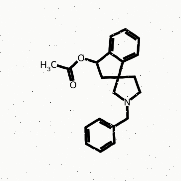 CC(=O)OC1CC2(CCN(Cc3ccccc3)C2)c2ccccc21